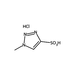 Cl.Cn1cc(S(=O)(=O)O)nn1